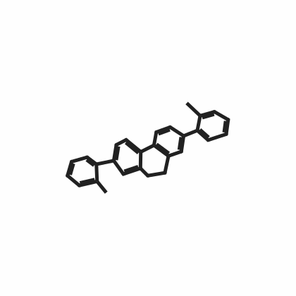 Cc1ccccc1-c1ccc2c(c1)CCc1cc(-c3ccccc3C)ccc1-2